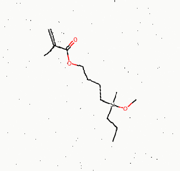 C=C(C)C(=O)OCCCC[Si](C)(CCC)OC